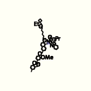 CCCC(=O)N(/N=C/c1c(OCCCCCCOCC2(CC)CCC2)ccc2cc(COc3ccc(C(=O)Oc4ccc(C)cc4C)cc3OC)ccc12)c1nc2ccccc2s1